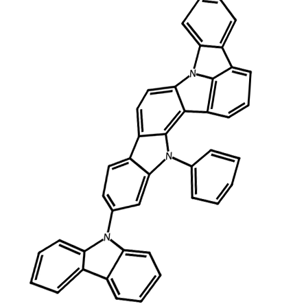 c1ccc(-n2c3cc(-n4c5ccccc5c5ccccc54)ccc3c3ccc4c(c5cccc6c7ccccc7n4c65)c32)cc1